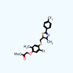 CCc1cc(OCC(=O)OC)c(C)cc1SCC1SC(c2ccc(C(F)(F)F)cc2)=NC1C